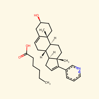 CCCCCC(=O)O.C[C@]12CC[C@H](O)CC1=CC[C@@H]1[C@@H]2CC[C@]2(C)C(c3cccnc3)=CC[C@@H]12